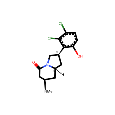 CNC1CC(=O)N2C[C@@H](c3c(O)ccc(Cl)c3Cl)C[C@H]2C1